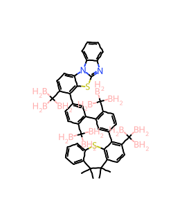 BC(B)(B)c1ccc(-c2c(C(B)(B)B)ccc3c2Sc2ccccc2C(C)(C)C3(C)C)cc1-c1cc(-c2c(C(B)(B)B)ccc3c2sc2nc4ccccc4n23)ccc1C(B)(B)B